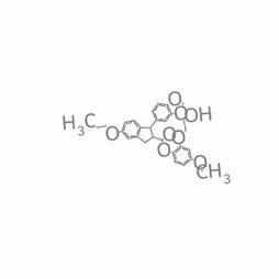 CCCOc1ccc2c(c1)CC(C(=O)Oc1ccc(OC)cc1OCCO)C2c1ccc2c(c1)OCO2